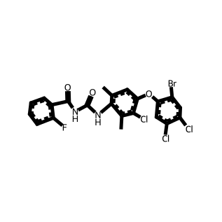 Cc1cc(Oc2cc(Cl)c(Cl)cc2Br)c(Cl)c(C)c1NC(=O)NC(=O)c1ccccc1F